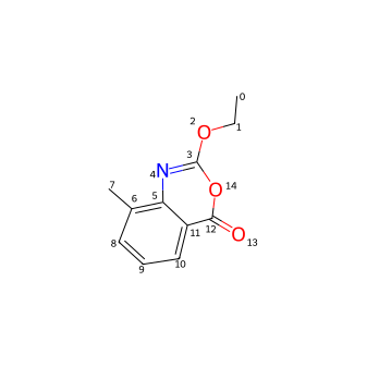 CCOc1nc2c(C)cccc2c(=O)o1